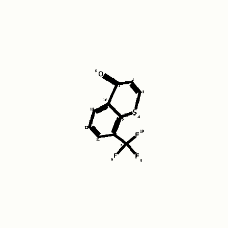 O=c1ccsc2c(C(F)(F)F)cccc12